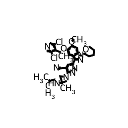 COc1cc2c(cc1O[C@H](C)c1c(Cl)cncc1Cl)c(-c1cc(C#N)c(N3CC(C)(NCC(C)C)C3)nn1)nn2C1CCCCO1